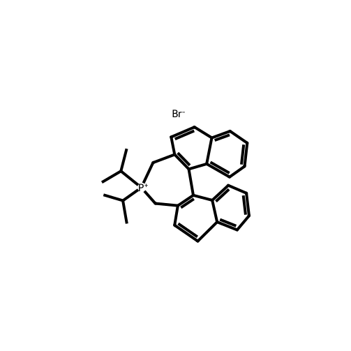 CC(C)[P+]1(C(C)C)Cc2ccc3ccccc3c2-c2c(ccc3ccccc23)C1.[Br-]